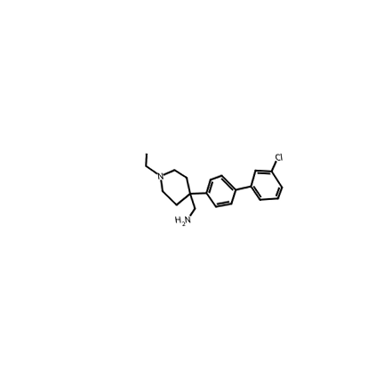 CCN1CCC(CN)(c2ccc(-c3cccc(Cl)c3)cc2)CC1